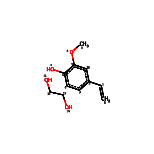 C=Cc1ccc(O)c(OC)c1.OCCO